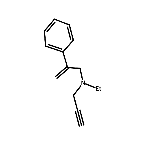 C#CCN(CC)CC(=C)c1ccccc1